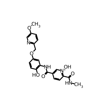 CNC(=O)c1ccc(C(=O)Nc2cc(OCc3ccc(OC)cn3)ccc2O)c[n+]1O